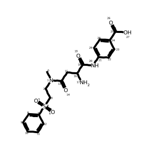 CN(CCS(=O)(=O)c1ccccc1)C(=O)CC(N)C(=O)Nc1ccc(C(=O)O)cc1